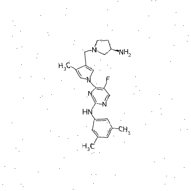 Cc1cc(C)cc(Nc2ncc(F)c(-n3cc(C)c(CN4CC[C@@H](N)C4)c3)n2)c1